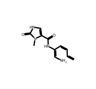 C=C/C=C\C(=C/N)NC(=O)c1c[nH]c(=O)n1C